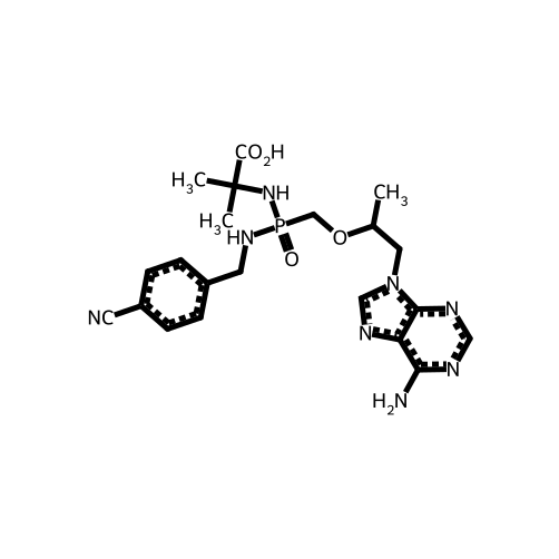 CC(Cn1cnc2c(N)ncnc21)OCP(=O)(NCc1ccc(C#N)cc1)NC(C)(C)C(=O)O